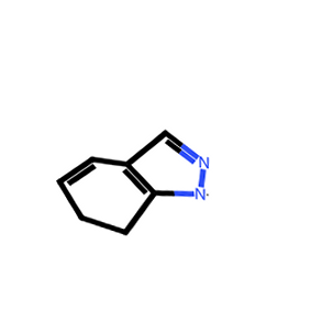 C1=CC2=C(CC1)[N]N=C2